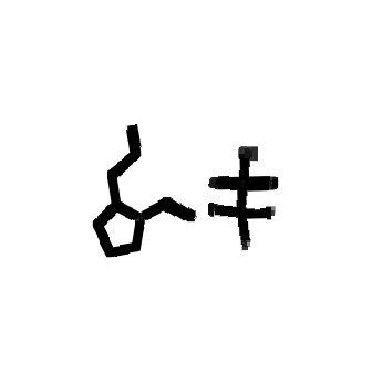 CCCC1CCCN1CC.O=S(=O)(O)C(F)(F)F